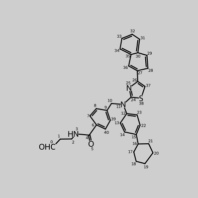 O=CCCNC(=O)c1ccc(CN(c2ccc(C3CCCCC3)cc2)c2nc(-c3ccc4ccccc4c3)cs2)cc1